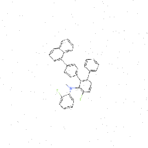 CN(c1ccccc1F)c1c(F)ccc(-c2ccccc2)c1-c1ccc(-c2cccc3ccccc23)cc1